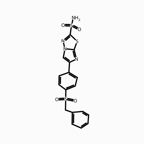 NS(=O)(=O)c1nn2cc(-c3ccc(S(=O)(=O)Cc4ccccc4)cc3)nc2s1